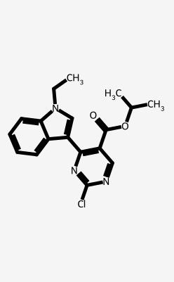 CCn1cc(-c2nc(Cl)ncc2C(=O)OC(C)C)c2ccccc21